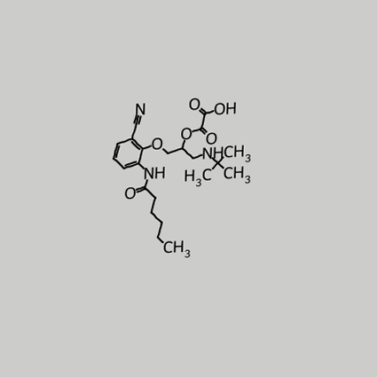 CCCCCC(=O)Nc1cccc(C#N)c1OCC(CNC(C)(C)C)OC(=O)C(=O)O